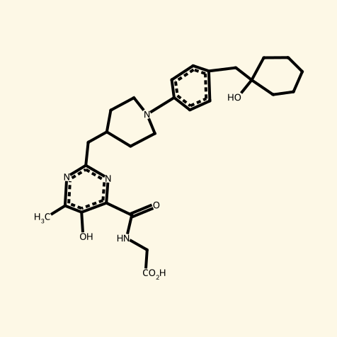 Cc1nc(CC2CCN(c3ccc(CC4(O)CCCCC4)cc3)CC2)nc(C(=O)NCC(=O)O)c1O